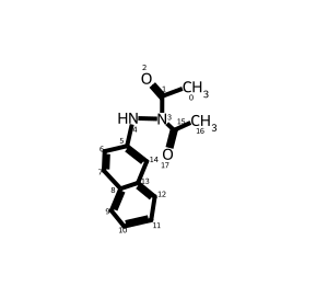 CC(=O)N(Nc1ccc2ccccc2c1)C(C)=O